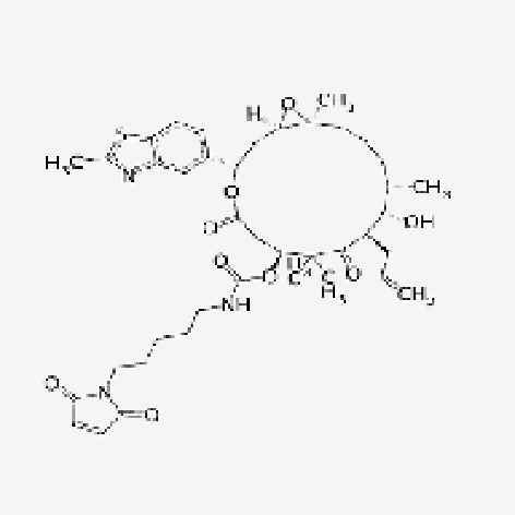 C=CC[C@H]1C(=O)C(C)(C)[C@@H](OC(=O)NCCCCCN2C(=O)C=CC2=O)CC(=O)O[C@H](c2ccc3sc(C)nc3c2)C[C@H]2O[C@@]2(C)CCC[C@H](C)[C@@H]1O